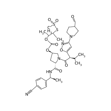 CC(OC(=O)O[C@@H]1C[C@@H](C(=O)N[C@@H](C)c2ccc(C#N)cc2)N(C(=O)[C@@H](c2cc(N3CCC(C=O)CC3)no2)C(C)C)C1)C(C)SS(C)(=O)=O